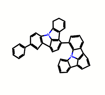 C1=Cc2c(n3c4ccc(-c5ccccc5)cc4c4ccc(-c5cccc6c7cccc8c9ccccc9n(c56)c87)c2c43)CC1